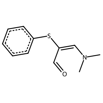 CN(C)C=C(C=O)Sc1ccccc1